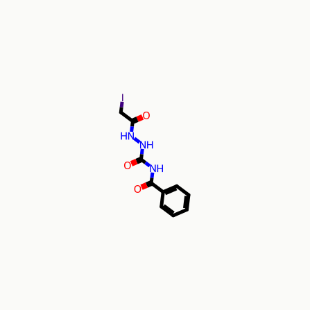 O=C(CI)NNC(=O)NC(=O)c1ccccc1